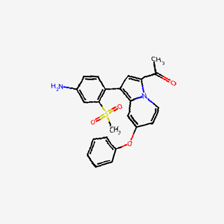 CC(=O)c1cc(-c2ccc(N)cc2S(C)(=O)=O)c2cc(Oc3ccccc3)ccn12